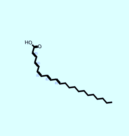 CCCCCCCCCCC/C=C/C=C/C=C\C=C\C=C\C(=O)O